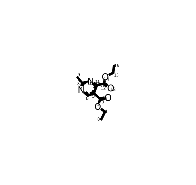 CCOC(=O)c1cnc(C)nc1C(=O)OCC